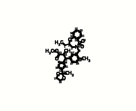 CC[C@@H]1CN(Cc2cc(C(c3cc(C4(C)OCCO4)cs3)C(C)C(=O)OC)ccc2C)S(=O)(=O)c2ccccc2O1